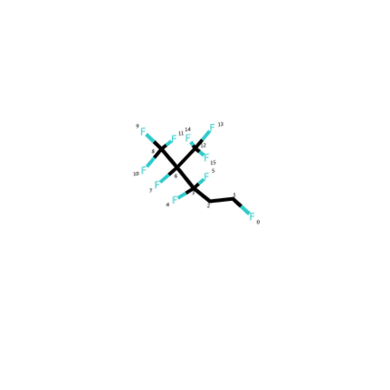 FCCC(F)(F)C(F)(C(F)(F)F)C(F)(F)F